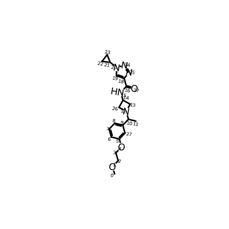 COCCOc1cccc(C(C)N2CC(NC(=O)c3cn(C4CC4)nn3)C2)c1